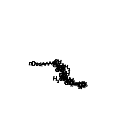 CCCCCCCCCCCCCCCCCC[N+](C)(C)CCNC(=O)c1cc(NC(=O)c2cc(NC(=O)c3ccc(/C=C/c4cnc5ccccc5c4)cc3)cn2C)cn1C